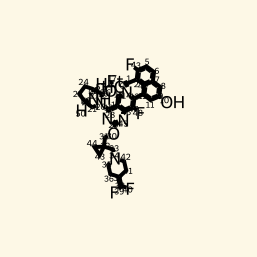 C#Cc1c(F)ccc2cc(O)cc(-c3nc(OCC)c4c(N5C[C@H]6CC[C@@H](C5)N6)nc(OCC5(CN6CCC(=C(F)F)CC6)CC5)nc4c3F)c12